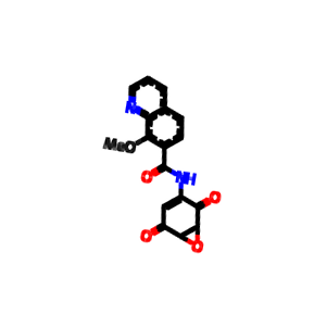 COc1c(C(=O)NC2=CC(=O)C3OC3C2=O)ccc2cccnc12